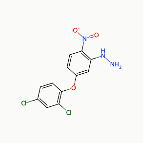 NNc1cc(Oc2ccc(Cl)cc2Cl)ccc1[N+](=O)[O-]